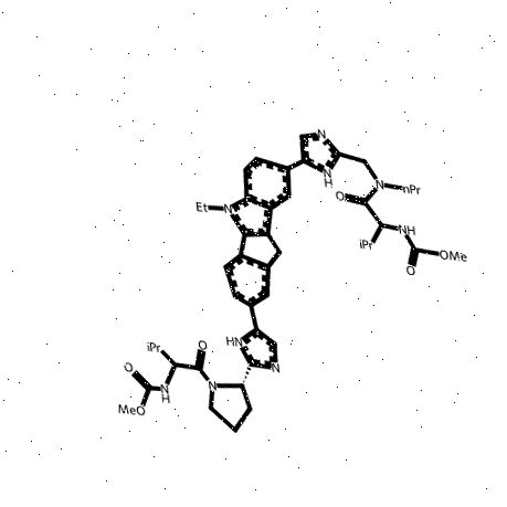 CCCN(Cc1ncc(-c2ccc3c(c2)c2c(n3CC)-c3ccc(-c4cnc([C@@H]5CCCN5C(=O)C(NC(=O)OC)C(C)C)[nH]4)cc3C2)[nH]1)C(=O)C(NC(=O)OC)C(C)C